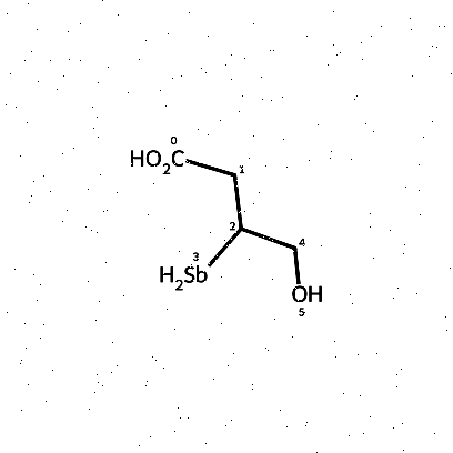 O=C(O)C[CH]([SbH2])CO